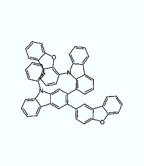 c1ccc(-n2c3ccccc3c3cc(-c4ccc5oc6ccccc6c5c4)c(-c4cccc5c6ccccc6n(-c6cccc7c6oc6ccccc67)c45)cc32)cc1